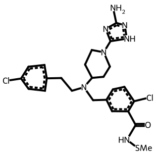 CSNC(=O)c1cc(CN(CCc2ccc(Cl)cc2)C2CCN(c3nc(N)n[nH]3)CC2)ccc1Cl